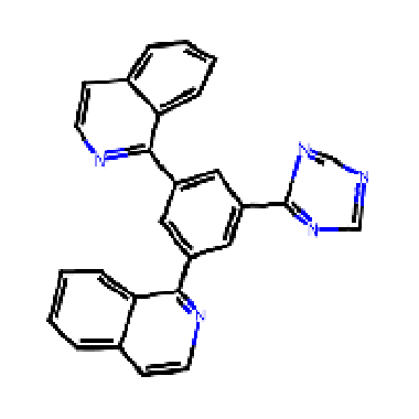 c1ccc2c(-c3cc(-c4ncncn4)cc(-c4nccc5ccccc45)c3)nccc2c1